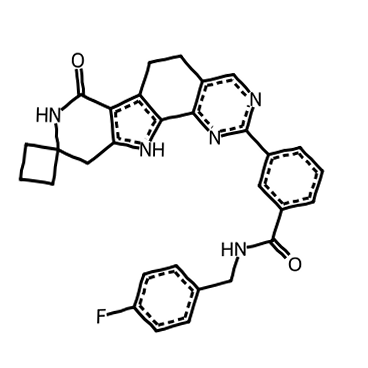 O=C(NCc1ccc(F)cc1)c1cccc(-c2ncc3c(n2)-c2[nH]c4c(c2CC3)C(=O)NC2(CCC2)C4)c1